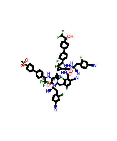 CS(=O)(=O)c1ccc(-c2ccc([C@H](N[C@H](C(=O)N([C@H](C#N)Cc3ccc(C#N)cc3F)[C@H](C#N)Cc3c(F)cc(C#N)c(C(=O)N[C@](N[C@@H](c4ccc(-c5ccc([C@@H](O)C(F)F)cc5)cc4)C(F)(F)F)(C(=O)N[C@H](C#N)Cc4ccc(C#N)cc4F)C4CC4)c3F)C3CC3)C(F)(F)F)cc2)cc1